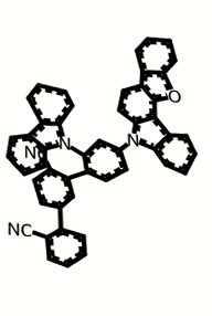 N#Cc1ccccc1-c1ccc(C#N)c(-c2ccc(-n3c4ccccc4c4c5oc6ccccc6c5ccc43)cc2-n2c3ccccc3c3ccccc32)c1